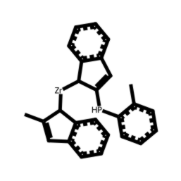 CC1=Cc2ccccc2[CH]1[Zr][CH]1C(Pc2ccccc2C)=Cc2ccccc21